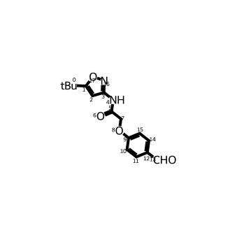 CC(C)(C)c1cc(NC(=O)COc2ccc(C=O)cc2)no1